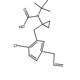 C=CCc1ccc(Cl)c(CC2(N(C(=O)O)C(C)(C)C)CC2)c1